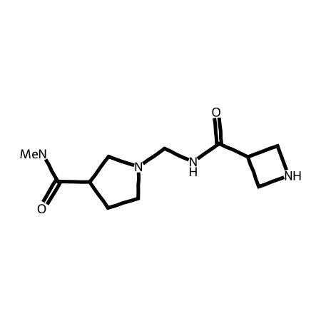 CNC(=O)C1CCN(CNC(=O)C2CNC2)C1